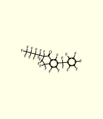 O=C1c2c(F)c(C(F)(F)c3c(F)c(F)c(F)c(F)c3F)c(F)c(F)c2C(F)(F)C(F)(F)C1(F)C(F)(F)C(F)(F)C(F)(F)C(F)(F)F